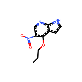 CCCOc1c([N+](=O)[O-])cnc2[nH]ccc12